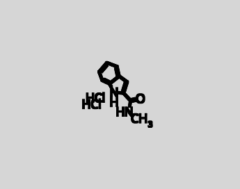 CNC(=O)c1cc2ccccc2[nH]1.Cl.Cl